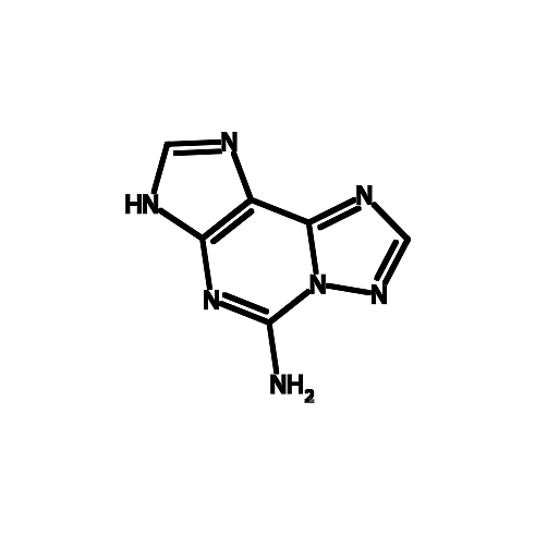 Nc1nc2[nH]cnc2c2ncnn12